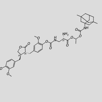 COc1ccc(C[C@H]2COC(=O)[C@@H]2Cc2ccc(OC(=O)NC[C@H](N)C(=O)OC(C)OC(=O)NC34CC5CC(C)(CC(C)(C5)C3)C4)c(OC)c2)cc1OC